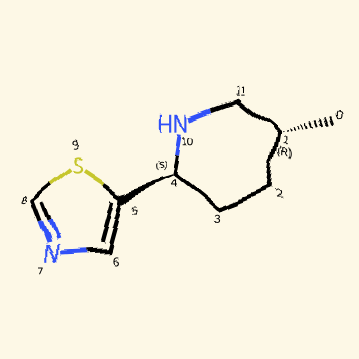 C[C@@H]1CC[C@@H](c2cncs2)NC1